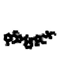 N[C@H](c1cccc(Br)n1)c1cc(C(=O)c2cncnc2NC2C[C@H](COS(N)(=O)=O)[C@@H](O)[C@H]2O)sc1Cl